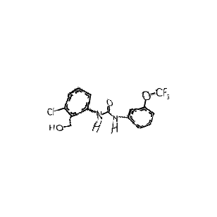 O=C(Nc1cccc(OC(F)(F)F)c1)Nc1cccc(Cl)c1CO